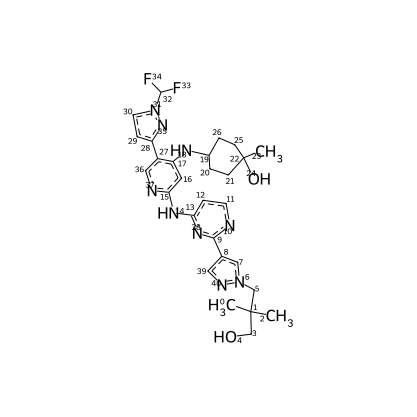 CC(C)(CO)Cn1cc(-c2nccc(Nc3cc(NC4CCC(C)(O)CC4)c(-c4ccn(C(F)F)n4)cn3)n2)cn1